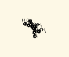 Cc1cccc(Nc2cc(N3CCCCC3)ccc2C2=CC3=CC(c4ccc(C5CCCCC5)cc4Nc4cccc(C)n4)=NC4=NC(N)=NC(=N2)N34)n1